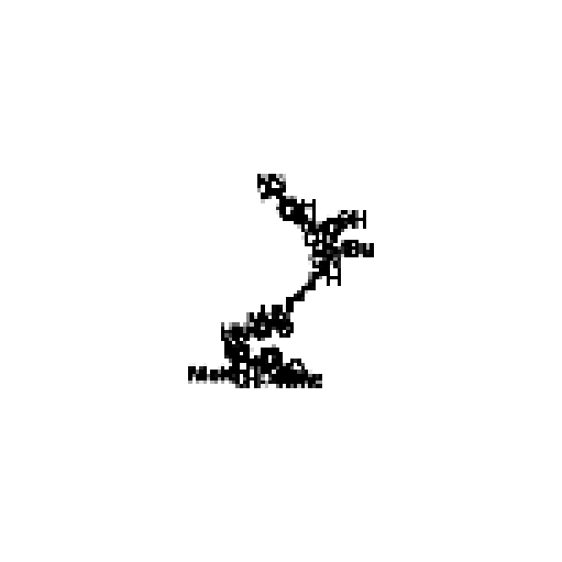 CNC(=O)c1cnc(Nc2ccc(C(=O)NCCCCCCCC(=O)N[C@H](C(=O)N3C[C@H](O)C[C@H]3C(=O)NCc3ccc(-c4scnc4C)cc3)C(C)(C)C)cn2)cc1Nc1cccc(C(=O)NC)c1OC